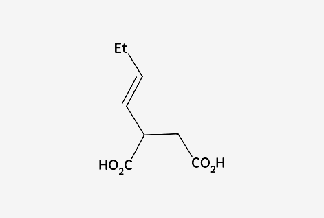 CC/C=C/C(CC(=O)O)C(=O)O